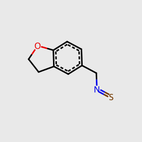 S=NCc1ccc2c(c1)CCO2